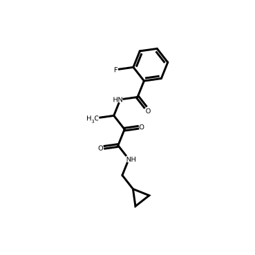 CC(NC(=O)c1ccccc1F)C(=O)C(=O)NCC1CC1